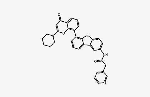 O=C(Cc1cccnc1)Nc1ccc2sc3c(-c4cccc5c(=O)cc(N6CCCCC6)oc45)cccc3c2c1